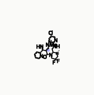 CN/C=C(\C(=N)c1ccccn1)C(=O)N1CC(F)(F)C[C@@H](C)C1CNc1ncc(Cl)cn1